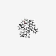 C(=Cc1nc(C=Cc2cccnc2C2CCCCC2)c(C=Cc2cccnc2C2CCCCC2)nc1C=Cc1cccnc1C1CCCCC1)c1cccnc1C1CCCCC1